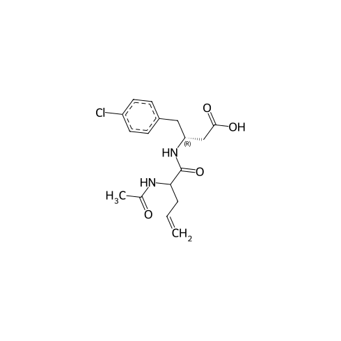 C=CCC(NC(C)=O)C(=O)N[C@@H](CC(=O)O)Cc1ccc(Cl)cc1